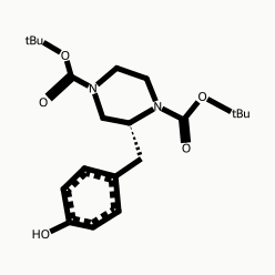 CC(C)(C)OC(=O)N1CCN(C(=O)OC(C)(C)C)[C@H](Cc2ccc(O)cc2)C1